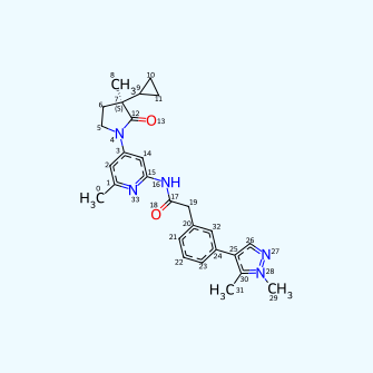 Cc1cc(N2CC[C@@](C)(C3CC3)C2=O)cc(NC(=O)Cc2cccc(-c3cnn(C)c3C)c2)n1